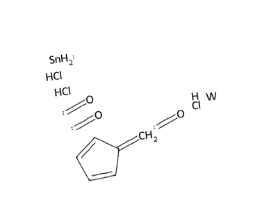 C=C1C=CC=C1.Cl.Cl.Cl.[C]=O.[C]=O.[C]=O.[SnH2].[W]